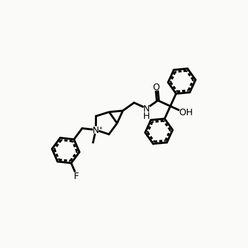 C[N+]1(Cc2cccc(F)c2)CC2C(CNC(=O)C(O)(c3ccccc3)c3ccccc3)C2C1